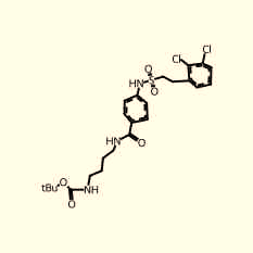 CC(C)(C)OC(=O)NCCCCNC(=O)c1ccc(NS(=O)(=O)CCc2cccc(Cl)c2Cl)cc1